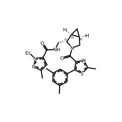 CCn1nc(C)cc1C(=O)NC[C@@H]1[C@H]2C[C@H]2CN1C(=O)c1nc(C)sc1-c1cc(C)cc(C)c1